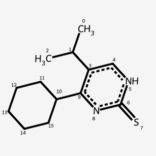 CC(C)c1c[nH]c(=S)nc1C1CCCCC1